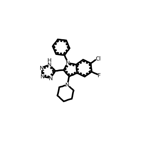 Fc1cc2c(N3CCCCC3)c(-c3nnn[nH]3)n(-c3ccccc3)c2cc1Cl